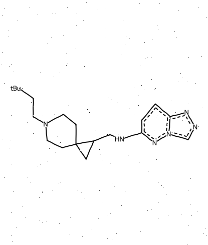 CC(C)(C)CCN1CCC2(CC1)CC2CNc1ccc2nncn2n1